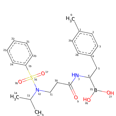 Cc1ccc(CC(NC(=O)CCN(C(C)C)S(=O)(=O)c2ccccc2)B(O)O)cc1